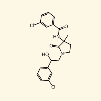 CC1(NC(=O)c2cccc(Cl)c2)CCN(CC(O)c2cccc(Cl)c2)C1=O